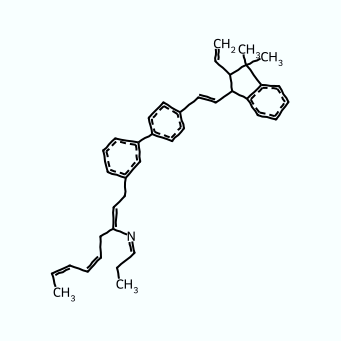 C=CC1C(/C=C/c2ccc(-c3cccc(C/C=C(C/C=C\C=C/C)\N=C/CC)c3)cc2)c2ccccc2C1(C)C